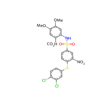 COc1cc(NS(=O)(=O)c2ccc(Sc3ccc(Cl)c(Cl)c3)c([N+](=O)[O-])c2)c(C(=O)O)cc1OC